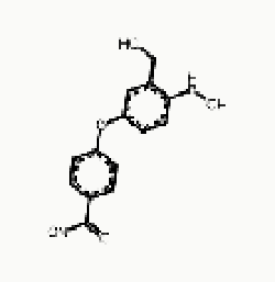 O=NC(=O)c1ccc(Oc2ccc(BO)c(CO)c2)cc1